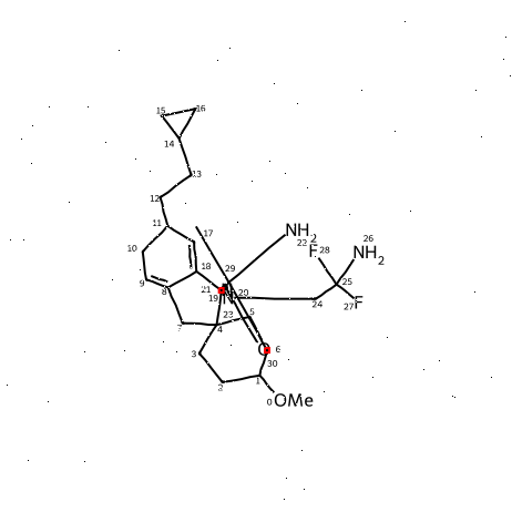 COC1CCC2(CC1)CC1=CCC(CCC3CC3)C=C1C21N=C(N)N(CC(N)(F)F)C1=O